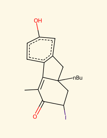 CCCCC12Cc3cc(O)ccc3C1=C(C)C(=O)C(I)C2